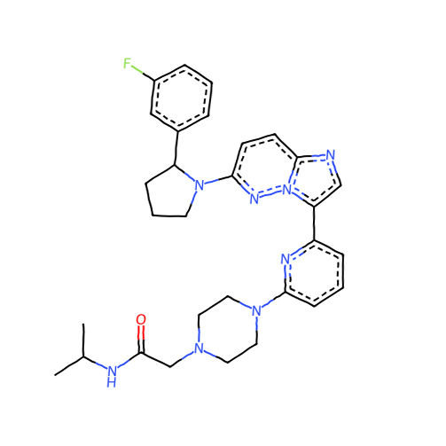 CC(C)NC(=O)CN1CCN(c2cccc(-c3cnc4ccc(N5CCCC5c5cccc(F)c5)nn34)n2)CC1